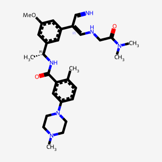 COc1cc(/C(C=N)=C/NCC(=O)N(C)C)cc([C@@H](C)NC(=O)c2cc(N3CCN(C)CC3)ccc2C)c1